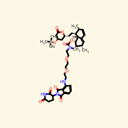 C[C@H]1C=C2C=C[C@H](C)[C@H](CC[C@@H]3C[C@@H](O[Si](C)(C)C(C)(C)C)CC(=O)O3)[C@H]2[C@@H](OC(=O)N(C)CCOCCOCCNc2cccc3c2C(=O)N(C2CCC(=O)NC2=O)C3=O)C1